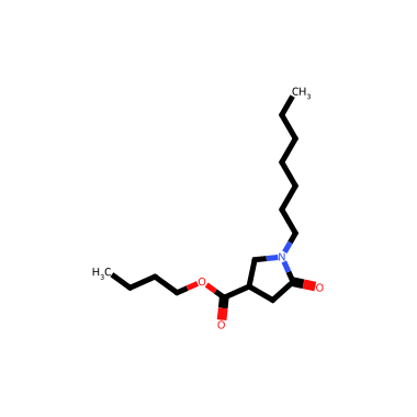 CCCCCCCN1CC(C(=O)OCCCC)CC1=O